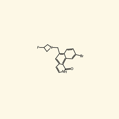 O=c1[nH]ccc2cc(CN3CC(F)C3)c3ccc(Br)cc3c12